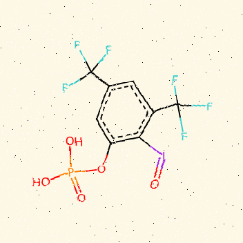 O=Ic1c(OP(=O)(O)O)cc(C(F)(F)F)cc1C(F)(F)F